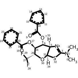 CN(C)C1=N[C@@H]2[C@@H](OC(=O)c3ccccc3)[C@H](OC(=O)c3ccccc3)[C@@H](C(F)F)O[C@@H]2S1